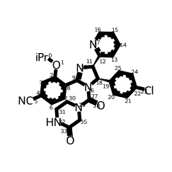 CC(C)Oc1cc(C#N)ccc1C1=N[C@@H](c2ccccn2)[C@@H](c2ccc(Cl)cc2)N1C(=O)N1CCNC(=O)C1